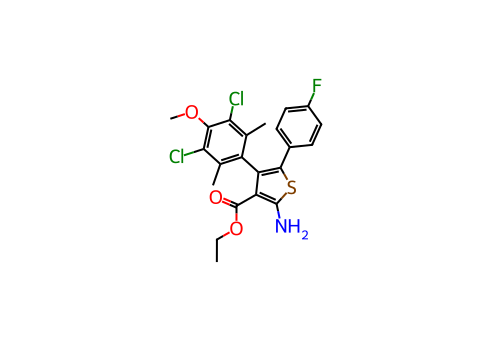 CCOC(=O)c1c(N)sc(-c2ccc(F)cc2)c1-c1c(C)c(Cl)c(OC)c(Cl)c1C